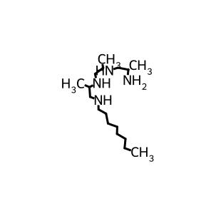 CCCCCCCCNCC(C)NCC(C)NCC(C)N